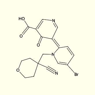 N#CC1(CN2C=C(Br)C=CC2=C2C=NC=C(C(=O)O)C2=O)CCOCC1